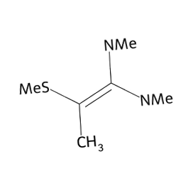 CNC(NC)=C(C)SC